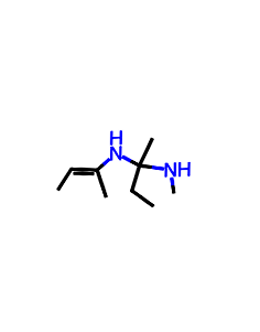 C/C=C(\C)NC(C)(CC)NC